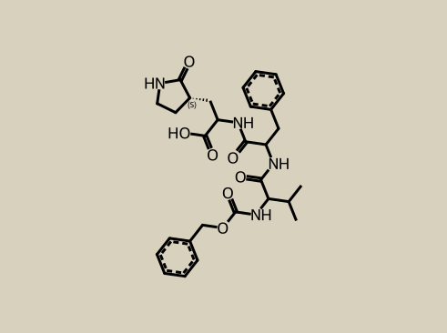 CC(C)C(NC(=O)OCc1ccccc1)C(=O)NC(Cc1ccccc1)C(=O)NC(C[C@@H]1CCNC1=O)C(=O)O